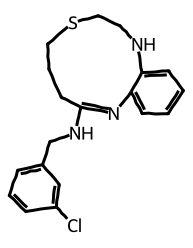 Clc1cccc(CN/C2=N/c3ccccc3NCCSCCC2)c1